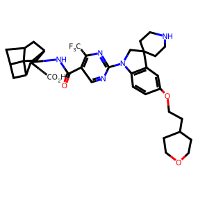 O=C(NC1(C(=O)O)C2CC3CC4CC1C34C2)c1cnc(N2CC3(CCNCC3)c3cc(OCCC4CCOCC4)ccc32)nc1C(F)(F)F